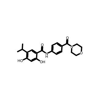 CC(C)c1cc(C(=O)Nc2ccc(C(=O)N3CCOCC3)cc2)c(O)cc1O